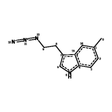 Cc1ccc2[nH]cc(CCN=[N+]=[N-])c2c1